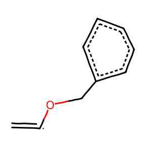 C=[C]OCc1ccccc1